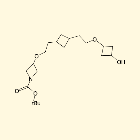 CC(C)(C)OC(=O)N1CC(OCCC2CC(CCOC3CC(O)C3)C2)C1